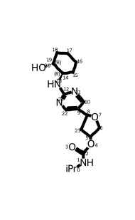 CC(C)NC(=O)OC1COC(c2cnc(N[C@@H]3CCCC[C@H]3O)nc2)C1